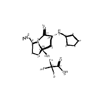 N#C[C@@H]1CS[C@H]2C[C@@H](NC3CCCC3)C(=O)N12.O=C(O)C(F)(F)F